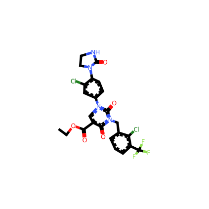 CCOC(=O)c1cn(-c2ccc(N3CCNC3=O)c(Cl)c2)c(=O)n(Cc2cccc(C(F)(F)F)c2Cl)c1=O